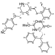 COC(=O)N[C@@H](CC(c1ccccc1)c1ccccc1)C(=O)Nc1cccc(F)c1CC[C@@H]1CNC[C@@H](COc2ccc(C#N)cc2)O1